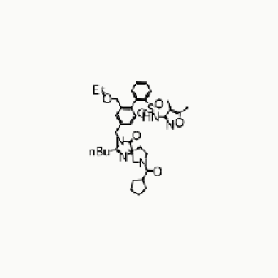 CCCCC1=N[C@]2(CCN(C(=O)C3CCCC3)C2)C(=O)N1Cc1ccc(-c2ccccc2S(=O)(=O)Nc2noc(C)c2C)c(COCC)c1